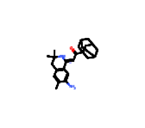 Cc1cc2c(cc1N)/C(=C/C(=O)C13CC4CC(CC(C4)C1)C3)NC(C)(C)C2